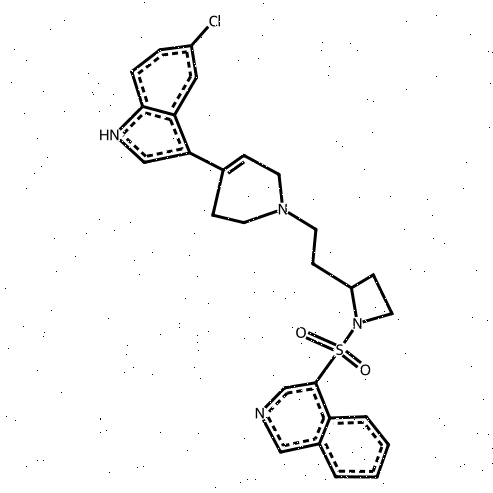 O=S(=O)(c1cncc2ccccc12)N1CCC1CCN1CC=C(c2c[nH]c3ccc(Cl)cc23)CC1